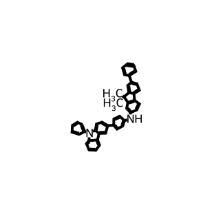 CC1(C)c2cc(Nc3ccc(-c4ccc5c(c4)c4ccccc4n5-c4ccccc4)cc3)ccc2-c2ccc(-c3cc#ccc3)cc21